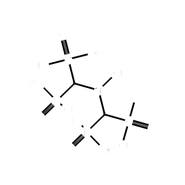 O=P(O)(O)C(N(O)C(P(=O)(O)O)P(=O)(O)O)P(=O)(O)O